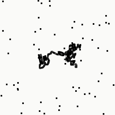 Cn1cc(C(F)(F)F)c(C2(C(=O)N[C@@H](CCOCCCCc3ccc4c(n3)NCCC4)C(=O)O)CC2)n1